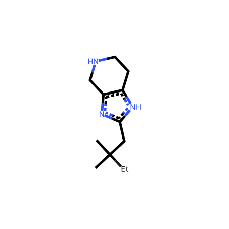 CCC(C)(C)Cc1nc2c([nH]1)CCNC2